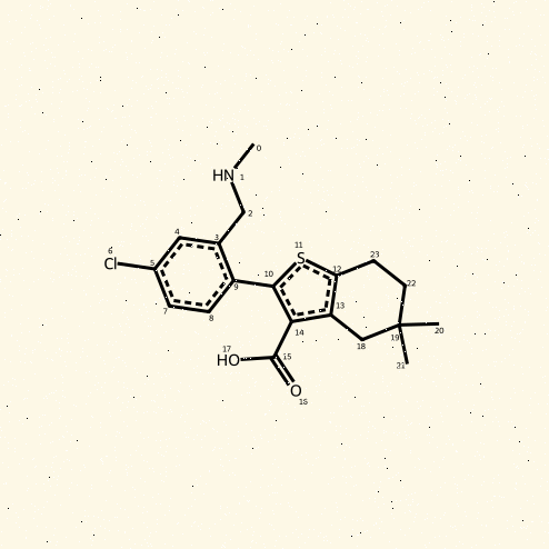 CNCc1cc(Cl)ccc1-c1sc2c(c1C(=O)O)CC(C)(C)CC2